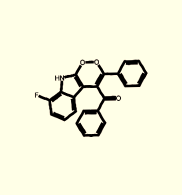 O=C(C1=C(c2ccccc2)OOc2[nH]c3c(F)cccc3c21)c1ccccc1